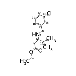 CCOC(=O)CC(NCc1cccc(Cl)c1)C(C)C